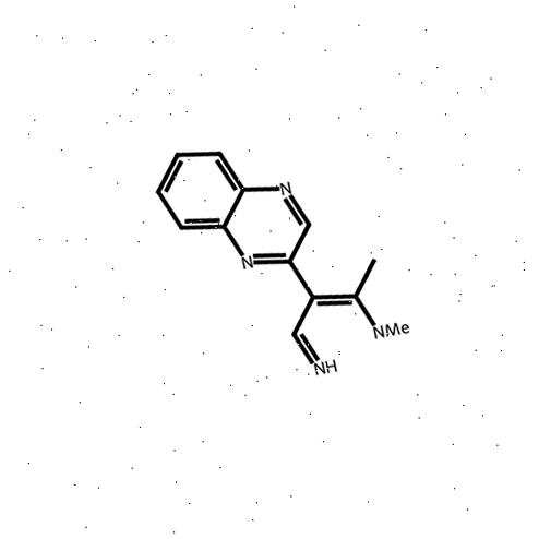 CN/C(C)=C(\C=N)c1cnc2ccccc2n1